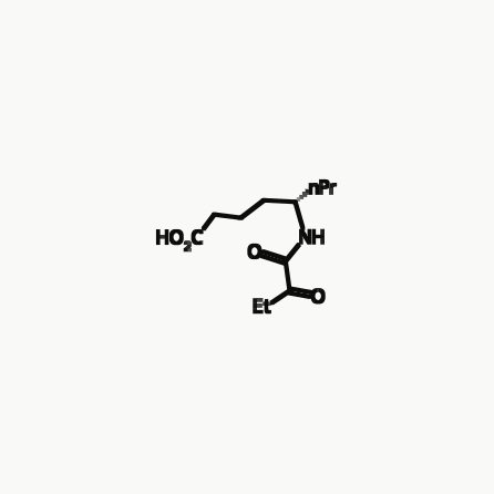 CCC[C@@H](CCCC(=O)O)NC(=O)C(=O)CC